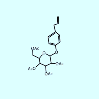 C=CCc1ccc(OC2OC(COC(C)=O)C(OC(C)=O)C(OC(C)=O)C2OC(C)=O)cc1